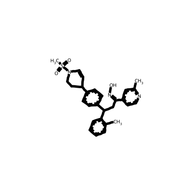 Cc1cc(C(CC(c2ccc(C3C=CN(S(C)(=O)=O)CC3)cc2)c2ccccc2C)=NO)ccn1